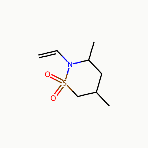 C=CN1C(C)CC(C)CS1(=O)=O